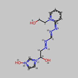 OCCn1ccccc1=NN=CN=NCC(O)[n+]1ccn(O)c1